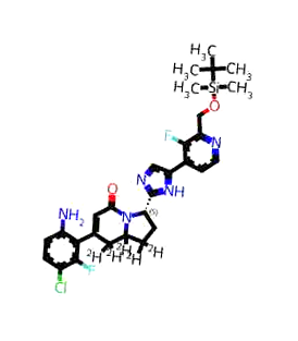 [2H]C1([2H])C[C@@H](c2ncc(-c3ccnc(CO[Si](C)(C)C(C)(C)C)c3F)[nH]2)N2C(=O)C=C(c3c(N)ccc(Cl)c3F)C([2H])([2H])C21[2H]